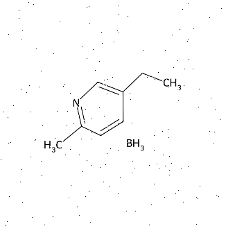 B.CCc1ccc(C)nc1